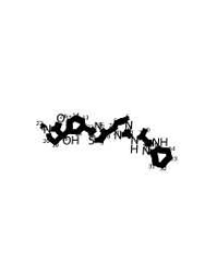 CC(Nc1nccc(-c2csc(-c3cccc([C@]4(O)CCN(C)C4=O)c3)n2)n1)c1nc2ccccc2[nH]1